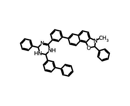 CN1c2ccc3cc(-c4cccc(C5=NC(c6ccccc6)NC(c6cccc(-c7ccccc7)c6)N5)c4)ccc3c2OC1c1ccccc1